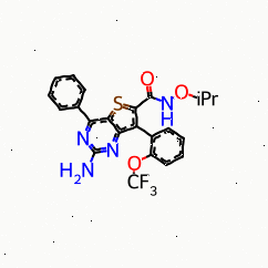 CC(C)ONC(=O)c1sc2c(-c3ccccc3)nc(N)nc2c1-c1ccccc1OC(F)(F)F